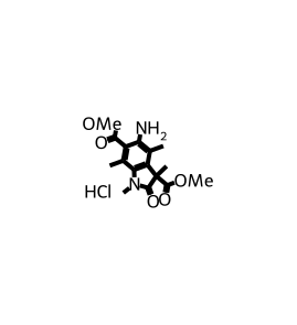 COC(=O)c1c(C)c2c(c(C)c1N)C(C)(C(=O)OC)C(=O)N2C.Cl